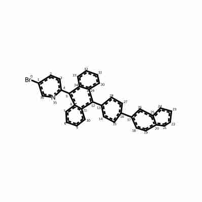 Brc1ccc(-c2c3ccccc3c(-c3ccc(-c4ccc5ccccc5c4)cc3)c3ccccc23)nc1